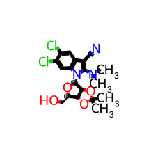 CN(C)c1c(C#N)c2cc(Cl)c(Cl)cc2n1[C@@H]1O[C@H](CO)C2OC(C)(C)OC21